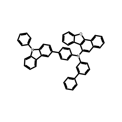 c1ccc(-c2cccc(N(c3ccc(-c4ccc5c(c4)c4ccccc4n5-c4ccccc4)cc3)c3cc4ccccc4c4oc5ccccc5c34)c2)cc1